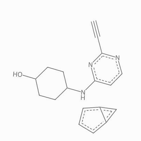 C#Cc1nccc(NC2CCC(O)CC2)n1.c1cc2cc-2c1